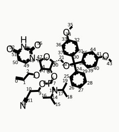 C=CCO[C@@H]1[C@H](OP(OCCC#N)N(C(C)C)C(C)C)[C@@H](COC(c2ccccc2)(c2ccc(OC)cc2)c2ccc(OC)cc2)O[C@H]1n1ccc(=O)[nH]c1=O